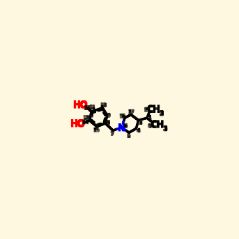 CC(C)C1CCN(Cc2ccc(O)c(O)c2)CC1